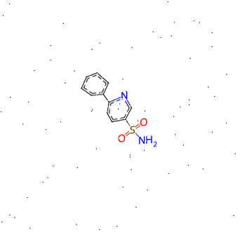 NS(=O)(=O)c1ccc(-c2ccccc2)nc1